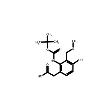 CSCc1c(O)ccc(CC(=O)O)c1NC(=O)OC(C)(C)C